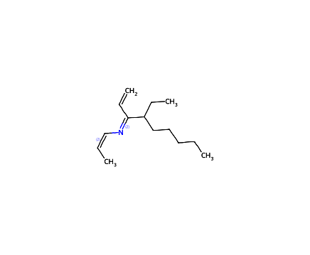 C=C/C(=N\C=C/C)C(CC)CCCCC